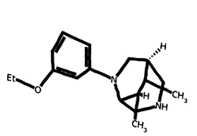 CCOc1cccc(N2C[C@H]3CNCC2[C@@H](C)C3C)c1